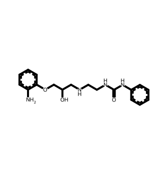 Nc1ccccc1OCC(O)CNCCNC(=O)Nc1ccccc1